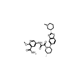 COc1ncc(NC(=O)C(=O)N2C[C@@H](C)CC[C@@H]2c2ccc3sc([C@H]4CCCN(C)C4)nc3c2)cc1C(N)=O